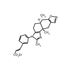 CCOC(=O)/C=C/c1cccc(-n2c(C)nc3c2CC[C@H]2[C@H](C)c4oncc4C[C@]32C)c1